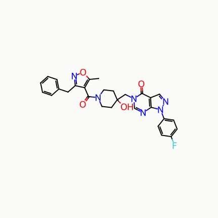 Cc1onc(Cc2ccccc2)c1C(=O)N1CCC(O)(Cn2cnc3c(cnn3-c3ccc(F)cc3)c2=O)CC1